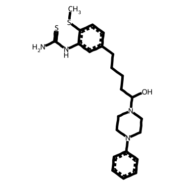 CSc1ccc(CCCCC(O)N2CCN(c3ccccc3)CC2)cc1NC(N)=S